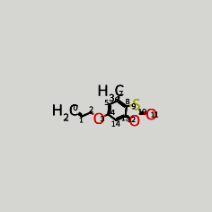 C=CCOc1cc(C)c2sc(=O)oc2c1